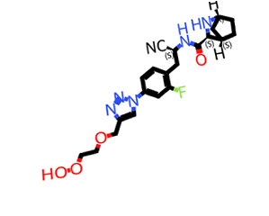 N#C[C@H](Cc1ccc(-n2cc(COCCOO)nn2)cc1F)NC(=O)[C@H]1N[C@@H]2CC[C@H]1C2